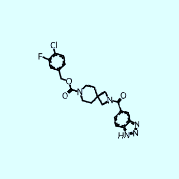 O=C(OCc1ccc(Cl)c(F)c1)N1CCC2(CC1)CN(C(=O)c1ccc3[nH]nnc3c1)C2